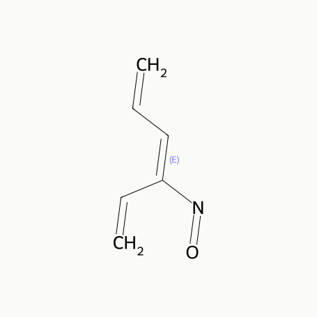 C=C/C=C(\C=C)N=O